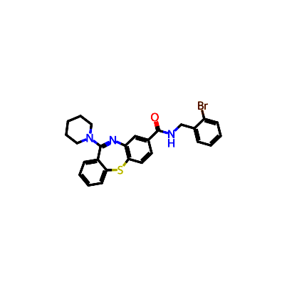 O=C(NCc1ccccc1Br)c1ccc2c(c1)N=C(N1CCCCC1)c1ccccc1S2